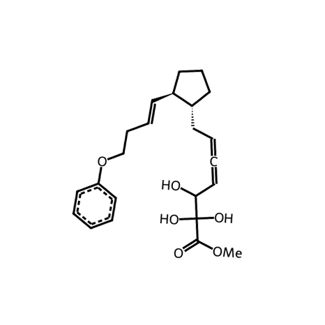 COC(=O)C(O)(O)C(O)C=C=CC[C@H]1CCC[C@@H]1/C=C/CCOc1ccccc1